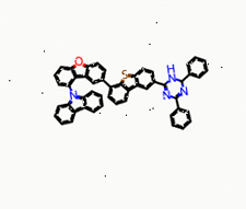 c1ccc(C2=NC(c3ccccc3)NC(c3ccc4sc5c(-c6ccc7oc8cccc(-n9c%10ccccc%10c%10ccccc%109)c8c7c6)cccc5c4c3)=N2)cc1